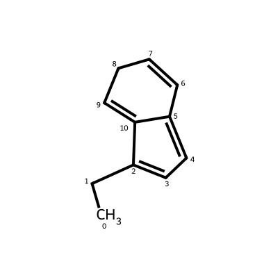 CCC1=CC=C2C=CCC=C21